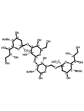 CC(=O)N[C@@H]1[C@@H](O[C@@H]2O[C@H](CO)[C@H](O)[C@H](O[C@]3(C(=O)O)C[C@H](O)[C@@H](NC(C)=O)[C@H]([C@H](O)[C@H](O)CO)O3)[C@H]2O)[C@H](O)[C@@H](CO[C@]2(C(=O)O)C[C@H](O)[C@@H](NC(C)=O)[C@H]([C@H](O)[C@H](O)CO)O2)O[C@H]1O